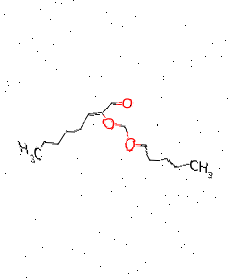 CCCCCC=C(C=O)OCOCCCCC